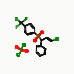 O=S(=O)(Cl)Cl.O=S(=O)(c1ccc(C(F)(F)F)cc1)C(C=CCl)c1ccccc1